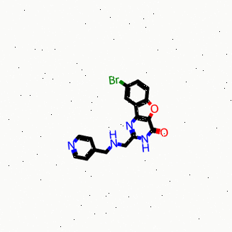 O=c1[nH]c(CNCc2ccncc2)nc2c1oc1ccc(Br)cc12